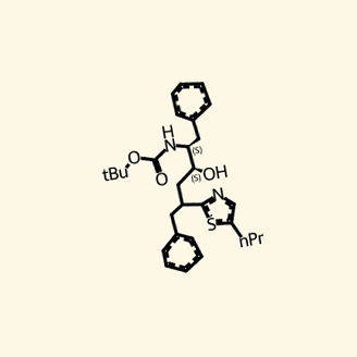 CCCc1cnc(C(Cc2ccccc2)C[C@H](O)[C@H](Cc2ccccc2)NC(=O)OC(C)(C)C)s1